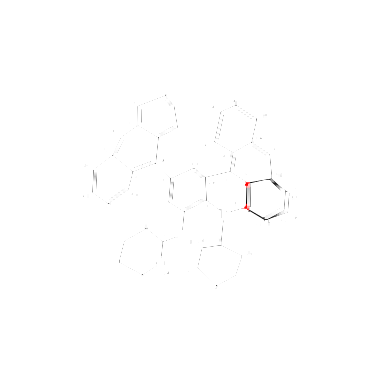 c1ccc2c(-c3cc(OC4CCCCO4)c(P(C4CCCCC4)C4CCCCC4)c(-c4c5ccccc5cc5ccccc45)c3)c3ccccc3cc2c1